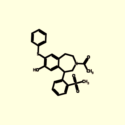 CC(=O)N1CCc2cc(Sc3ccccc3)c(O)cc2C(c2ccccc2S(C)(=O)=O)C1